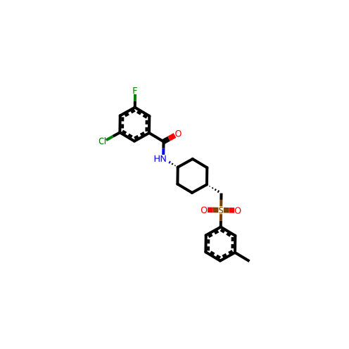 Cc1cccc(S(=O)(=O)C[C@H]2CC[C@@H](NC(=O)c3cc(F)cc(Cl)c3)CC2)c1